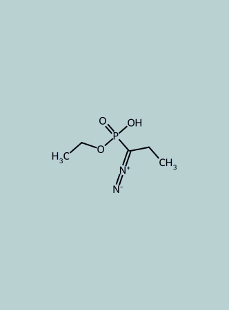 CCOP(=O)(O)C(CC)=[N+]=[N-]